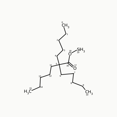 CCCCCC(CCCCC)(CCCCC)C(=O)O[SiH3]